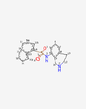 O=S(=O)(Nc1cccc2c1CNCC2)c1cccc2ccccc12